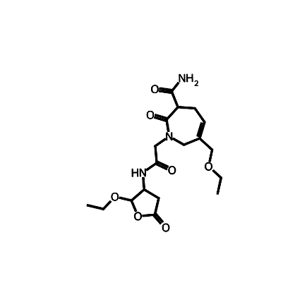 CCOCC1=CCC(C(N)=O)C(=O)N(CC(=O)NC2CC(=O)OC2OCC)C1